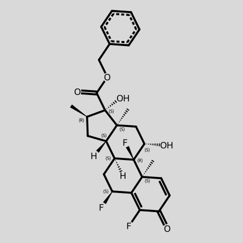 C[C@@H]1C[C@H]2[C@@H]3C[C@H](F)C4=C(F)C(=O)C=C[C@]4(C)[C@@]3(F)[C@@H](O)C[C@]2(C)[C@]1(O)C(=O)OCc1ccccc1